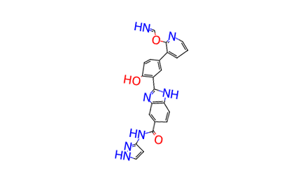 N=COc1ncccc1-c1ccc(O)c(-c2nc3cc(C(=O)Nc4cc[nH]n4)ccc3[nH]2)c1